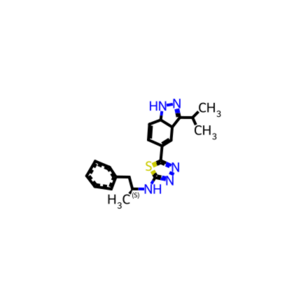 CC(C)C1=NNC2C=CC(c3nnc(N[C@@H](C)Cc4ccccc4)s3)=CC12